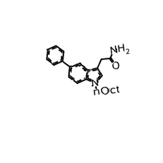 CCCCCCCCn1cc(CC(N)=O)c2cc(-c3ccccc3)ccc21